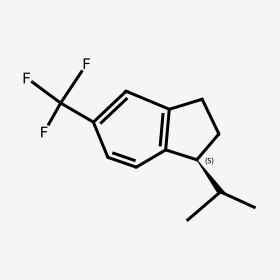 CC(C)[C@@H]1CCc2cc(C(F)(F)F)ccc21